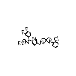 CCON=C(c1ccc(F)c(F)c1)c1ccc(CN2CCC3(CCN(c4ccccc4Cl)C3)C2)cn1